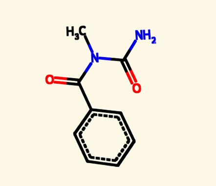 CN(C(N)=O)C(=O)c1ccccc1